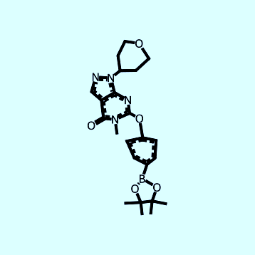 Cn1c(Oc2ccc(B3OC(C)(C)C(C)(C)O3)cc2)nc2c(cnn2C2CCOCC2)c1=O